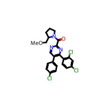 COCC1CCCN1C(=O)c1ncc(-c2ccc(Cl)cc2)c(-c2ccc(Cl)cc2Cl)n1